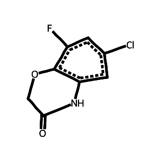 O=C1COc2c(F)cc(Cl)cc2N1